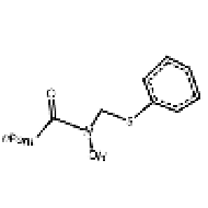 CCCCCC(=O)N(O)CSc1ccccc1